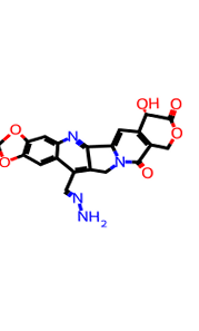 N/N=C/c1c2c(nc3cc4c(cc13)OCO4)-c1cc3c(c(=O)n1C2)COC(=O)[C@H]3O